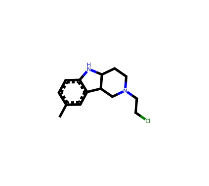 Cc1ccc2c(c1)C1CN(CCCl)CCC1N2